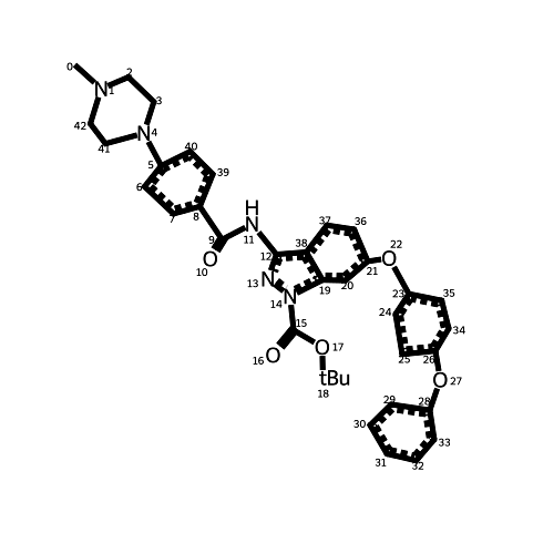 CN1CCN(c2ccc(C(=O)Nc3nn(C(=O)OC(C)(C)C)c4cc(Oc5ccc(Oc6ccccc6)cc5)ccc34)cc2)CC1